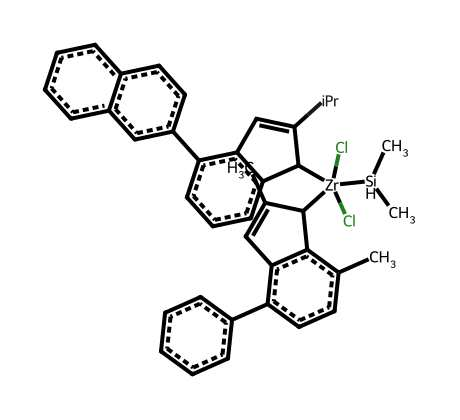 CC1=Cc2c(-c3ccccc3)ccc(C)c2[CH]1[Zr]([Cl])([Cl])([CH]1C(C(C)C)=Cc2c(-c3ccc4ccccc4c3)cccc21)[SiH](C)C